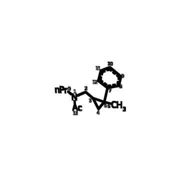 CCCN(CC1CC1(C)c1ccccc1)C(C)=O